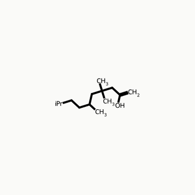 C=C(O)CC(C)(C)CC(C)CCC(C)C